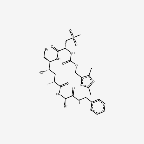 Cc1nc(COC(=O)N[C@@H](CS(C)(=O)=O)C(=O)N[C@H](CC(C)C)[C@@H](O)C[C@@H](C)C(=O)N[C@@H](C(=O)NCc2ccccn2)C(C)C)c(C)o1